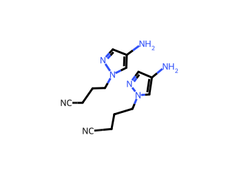 N#CCCCn1cc(N)cn1.N#CCCCn1cc(N)cn1